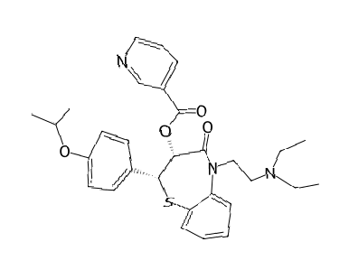 CCN(CC)CCN1C(=O)[C@@H](OC(=O)c2cccnc2)[C@@H](c2ccc(OC(C)C)cc2)Sc2ccccc21